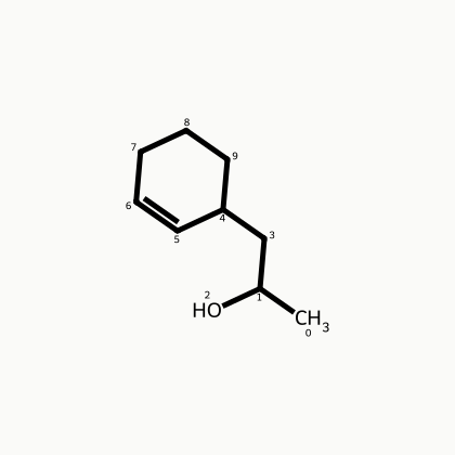 CC(O)CC1C=CCCC1